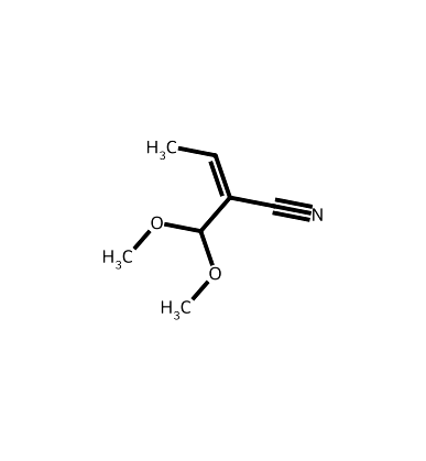 CC=C(C#N)C(OC)OC